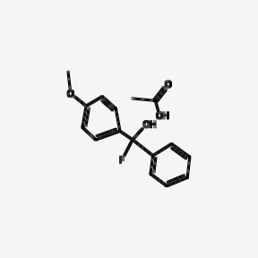 CC(=O)O.COc1ccc(C(O)(F)c2ccccc2)cc1